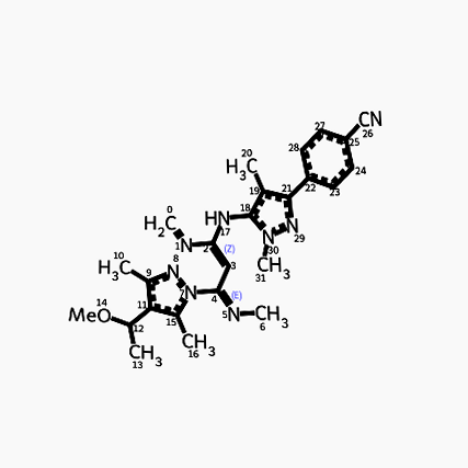 C=N/C(=C\C(=N/C)n1nc(C)c(C(C)OC)c1C)Nc1c(C)c(-c2ccc(C#N)cc2)nn1C